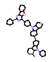 CC1CC=Cc2c1n(-c1ccccc1)c1ccc(-c3ccc4c(c3)c3ccccc3n4-c3ccc(-c4nc(-c5ccccc5)nc5c4oc4ccccc45)cc3)cc21